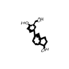 OCc1cc(-c2ccc3c(c2)CCC3O)ccc1O